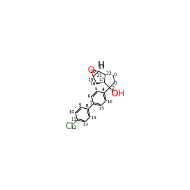 CC[C@](O)(c1ccc(-c2ccc(Cl)cc2)cc1)[C@H]1CC2O[C@H]2C1